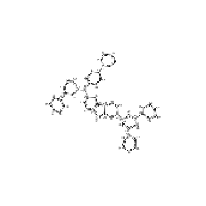 c1ccc(-c2ccc(N(c3cccc(-c4ccccc4)c3)c3ccc4oc5cc(-c6nc(-c7ccccc7)nc(-c7ccccc7)n6)ccc5c4c3)cc2)cc1